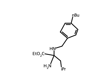 CCCCc1ccc(CNC(N)(CC(C)C)C(=O)OCC)cc1